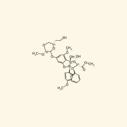 COC(=O)[C@H]1[C@@H](O)[C@@]2(O)c3c(OC)cc(OC4O[C@@H](CCS)CO[C@H]4OC)cc3O[C@@]2(c2ccc(OC)cc2)[C@@H]1c1ccccc1